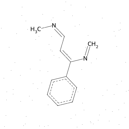 C=N/C(=C\C=N/C)c1ccccc1